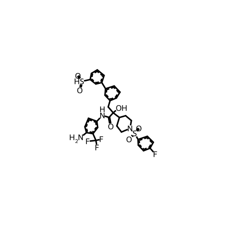 Nc1ccc(NC(=O)C(O)(Cc2cccc(-c3cccc([SH](=O)=O)c3)c2)C2CCN(S(=O)(=O)c3ccc(F)cc3)CC2)cc1C(F)(F)F